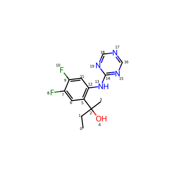 CCC(C)(O)c1cc(F)c(F)cc1Nc1ncncn1